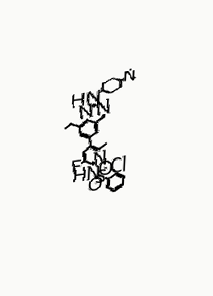 CCc1cc(-c2cc(F)c(NS(=O)(=O)c3ccccc3Cl)nc2C)cc2cnc(NC3CCC(N(C)C)CC3)nc12